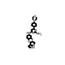 Nc1nc(Nc2ccc(Oc3ccnc4[nH]ccc34)c(F)c2)cc(-c2ccc(N3CCOCC3)cc2)n1